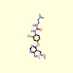 CON=Cc1c(N)ncnc1Oc1ccc(NC(=O)NCCN(C)C)c(Cl)c1